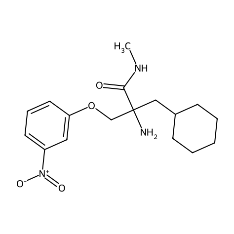 CNC(=O)C(N)(COc1cccc([N+](=O)[O-])c1)CC1CCCCC1